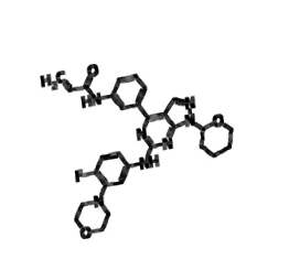 C=CC(=O)Nc1cccc(-c2nc(Nc3ccc(F)c(N4CCOCC4)c3)nc3c2cnn3C2CCCCO2)c1